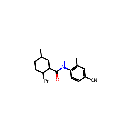 Cc1cc(C#N)ccc1NC(=O)C1CC(C)CCC1C(C)C